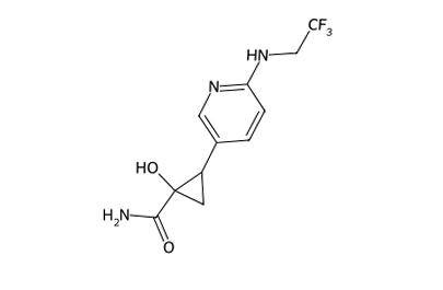 NC(=O)C1(O)CC1c1ccc(NCC(F)(F)F)nc1